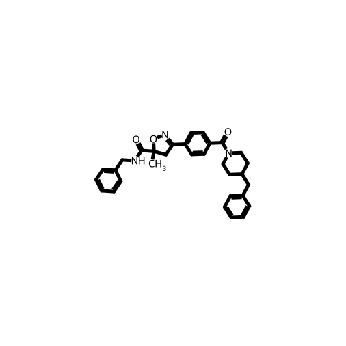 CC1(C(=O)NCc2ccccc2)CC(c2ccc(C(=O)N3CCC(Cc4ccccc4)CC3)cc2)=NO1